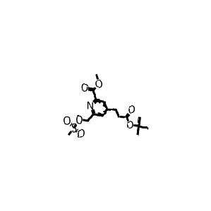 COC(=O)c1cc(CCC(=O)OC(C)(C)C)cc(COS(C)(=O)=O)n1